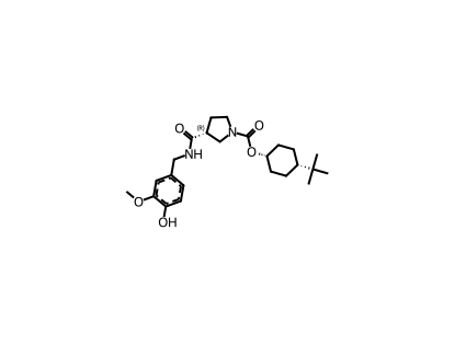 COc1cc(CNC(=O)[C@@H]2CCN(C(=O)O[C@H]3CC[C@@H](C(C)(C)C)CC3)C2)ccc1O